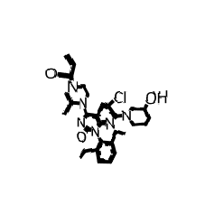 C=CC(=O)N1CCN(c2nc(=O)n(-c3c(CC)cccc3CC)c3nc(N4CCCC(O)C4)c(Cl)cc23)C(C)C1